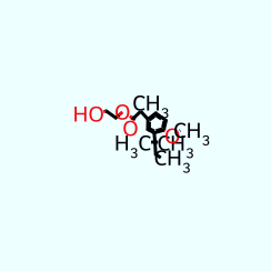 CCC(C)(C)c1cc(C(C)C(=O)OCCO)ccc1OC